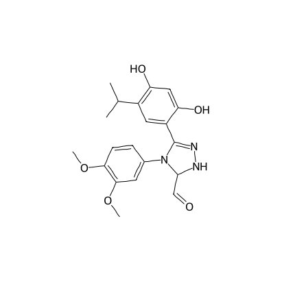 COc1ccc(N2C(c3cc(C(C)C)c(O)cc3O)=NNC2C=O)cc1OC